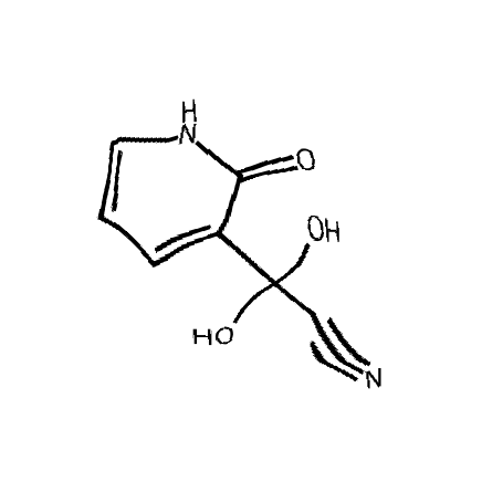 N#CC(O)(O)c1ccc[nH]c1=O